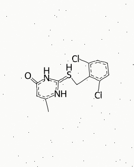 Cc1cc(=O)[nH]c(=[SH]Cc2c(Cl)cccc2Cl)[nH]1